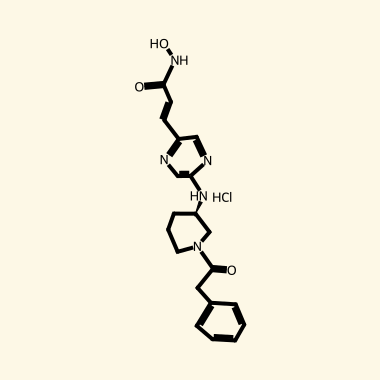 Cl.O=C(C=Cc1cnc(N[C@@H]2CCCN(C(=O)Cc3ccccc3)C2)cn1)NO